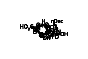 CCCCCCCCCCCCCCCC(=O)N(C)[C@H](CO)C(=O)N[C@H](C)C(=O)NCC(=O)N(C)[C@@H]1C(=O)N[C@@H](C)C(=O)N[C@H](C(=O)NCC(=O)O)Cc2ccc(O)c(c2)-c2cc1ccc2O